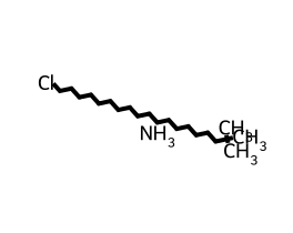 CC(C)(C)CCCCCCCCCCCCCCCCCCl.N